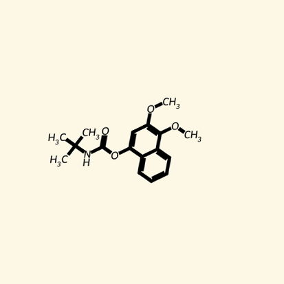 COc1cc(OC(=O)NC(C)(C)C)c2ccccc2c1OC